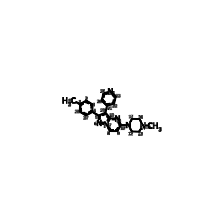 Cc1ccc(-c2nn3ccc(N4CCN(C)CC4)nc3c2-c2ccncc2)cc1